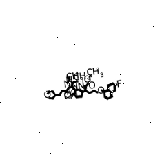 CCOC(=O)c1[nH]c2c(-c3c([C@H](O)CCC4CCOCC4)nn(C)c3CC)c(Cl)ccc2c1CCCOc1cccc2cc(F)ccc12